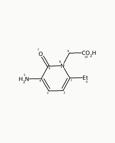 CCc1ccc(N)c(=O)n1CC(=O)O